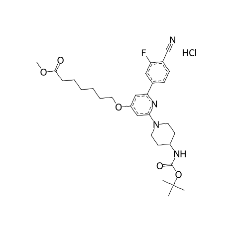 COC(=O)CCCCCCOc1cc(-c2ccc(C#N)c(F)c2)nc(N2CCC(NC(=O)OC(C)(C)C)CC2)c1.Cl